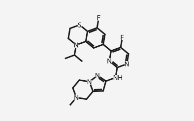 CC(C)N1CCSc2c(F)cc(-c3nc(Nc4cc5n(n4)CCN(C)C5)ncc3F)cc21